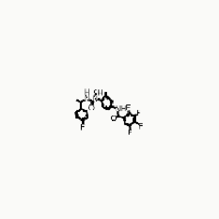 Cc1cc(NC(=O)c2cc(F)c(F)c(F)c2F)ccc1N(S)C(=O)NC(C)c1ccc(F)cc1